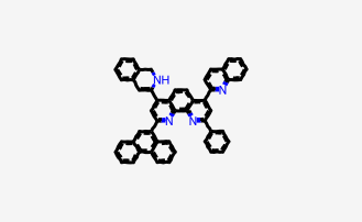 C1=C(c2cc(-c3cc4ccccc4c4ccccc34)nc3c2ccc2c(-c4ccc5ccccc5n4)cc(-c4ccccc4)nc23)NCc2ccccc21